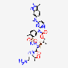 CC(=O)[C@H](CCN)NC(=O)CSS[C@H](C)COC(=O)N(c1ccc(C)c(S(N)(=O)=O)c1)c1nccc(N(C)c2ccc3c(C)n(C)nc3c2)n1